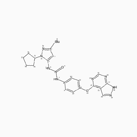 CC(C)(C)c1cc(NC(=O)Nc2ccc(Oc3ncnc4[nH]ncc34)cc2)n(C2CCCC2)n1